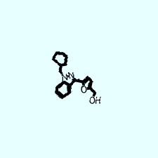 OCc1ccc(-c2nn(CC3CCCCC3)c3ccccc23)o1